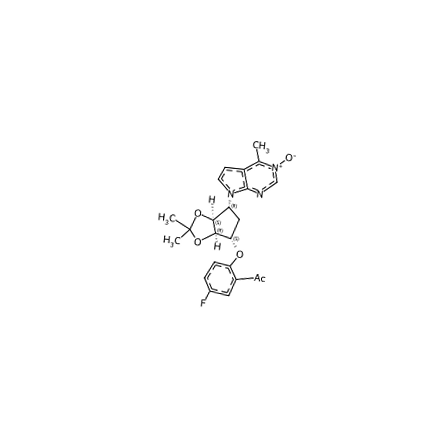 CC(=O)c1cc(F)ccc1O[C@H]1C[C@@H](n2ccc3c(C)[n+]([O-])cnc32)[C@@H]2OC(C)(C)O[C@@H]21